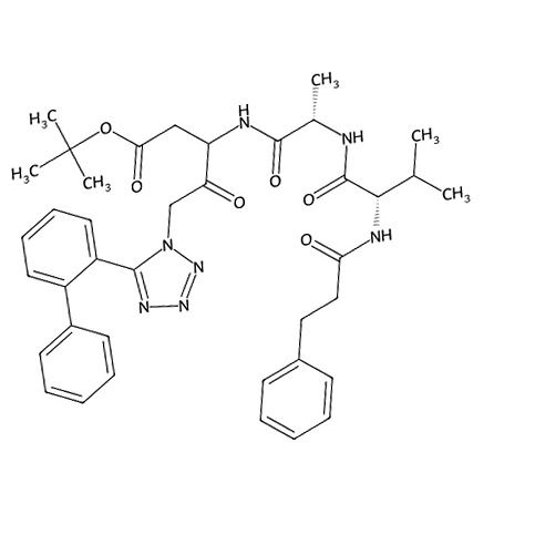 CC(C)[C@H](NC(=O)CCc1ccccc1)C(=O)N[C@@H](C)C(=O)NC(CC(=O)OC(C)(C)C)C(=O)Cn1nnnc1-c1ccccc1-c1ccccc1